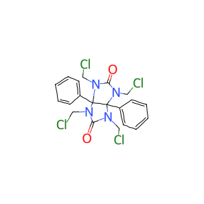 O=C1N(CCl)C2(c3ccccc3)N(CCl)C(=O)N(CCl)C2(c2ccccc2)N1CCl